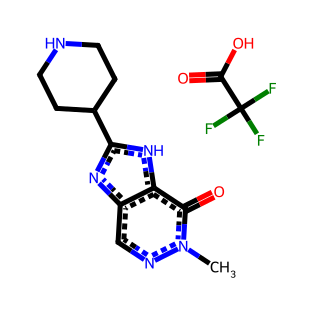 Cn1ncc2nc(C3CCNCC3)[nH]c2c1=O.O=C(O)C(F)(F)F